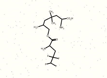 CC(COC(=O)C(N)CC(F)(F)C(F)F)CC(C)(C)CC(N)C(=O)O